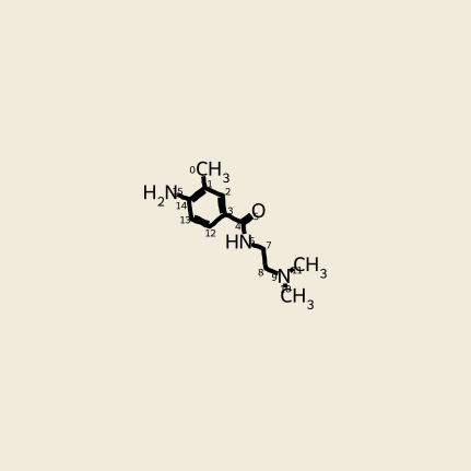 Cc1cc(C(=O)NCCN(C)C)ccc1N